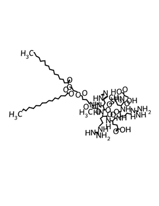 CCCCCCCCCCCCCCCC(=O)OCC(COC(=O)CCC(=O)NC(C)C(=O)NC(Cc1cnc[nH]1)C(=O)NC(CCCNC(=N)N)C(=O)NC(CCC(=O)O)C(=O)NC(CCCNC(=N)N)C(=O)NC(CC[S+](C)[O-])C(=O)NC(CO)C(=O)O)OC(=O)CCCCCCCCCCCCCCC